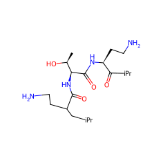 CC(C)CC(CCN)C(=O)N[C@H](C(=O)N[C@@H](CCN)C(=O)C(C)C)[C@H](C)O